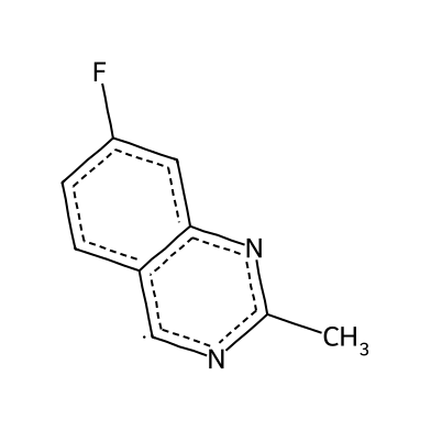 Cc1n[c]c2ccc(F)cc2n1